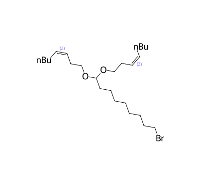 CCCC/C=C\CCOC(CCCCCCCCBr)OCC/C=C\CCCC